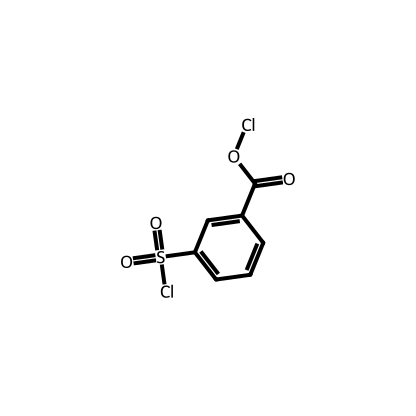 O=C(OCl)c1cccc(S(=O)(=O)Cl)c1